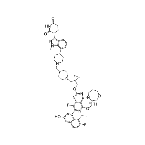 CCc1c(F)ccc2cc(O)cc(-c3nc4c5c(nc(OCC6(CN7CCC(CN8CCC(c9cccc%10c(C%11CCC(=O)NC%11=O)nn(C)c9%10)CC8)CC7)CC6)nc5c3F)N3CCCOC[C@H]3CO4)c12